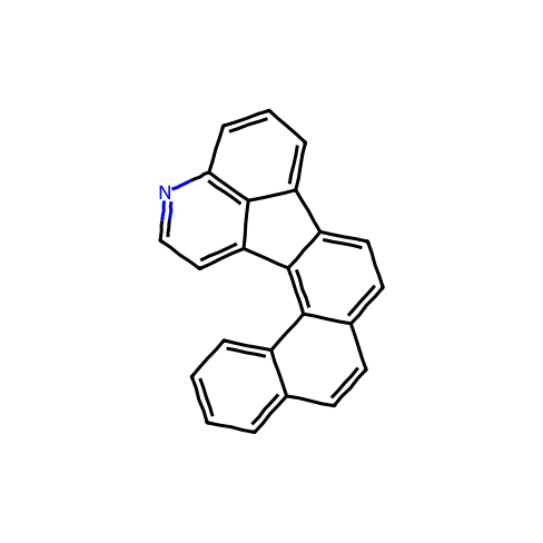 c1ccc2c(c1)ccc1ccc3c(c12)-c1ccnc2cccc-3c12